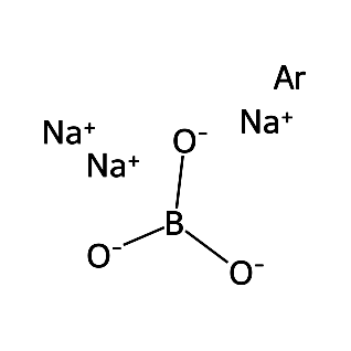 [Ar].[Na+].[Na+].[Na+].[O-]B([O-])[O-]